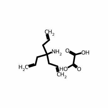 C=CCC(N)(CC=C)CC=C.O=C(O)C(=O)O